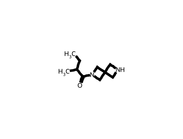 CCC(C)C(=O)N1CC2(CNC2)C1